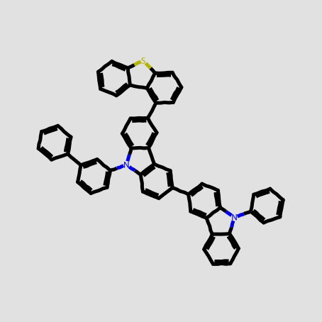 c1ccc(-c2cccc(-n3c4ccc(-c5ccc6c(c5)c5ccccc5n6-c5ccccc5)cc4c4cc(-c5cccc6sc7ccccc7c56)ccc43)c2)cc1